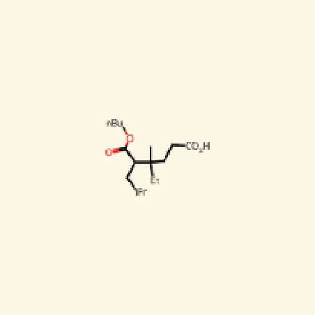 CCCCOC(=O)C(CC(C)C)C(C)(CC)CCC(=O)O